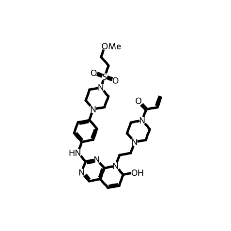 C=CC(=O)N1CCN(CCN2c3nc(Nc4ccc(N5CCN(S(=O)(=O)CCOC)CC5)cc4)ncc3C=CC2O)CC1